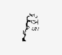 C=CC=NOCC(O)CN.Cl